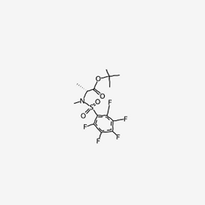 C[C@H](C(=O)OC(C)(C)C)N(C)S(=O)(=O)c1c(F)c(F)c(F)c(F)c1F